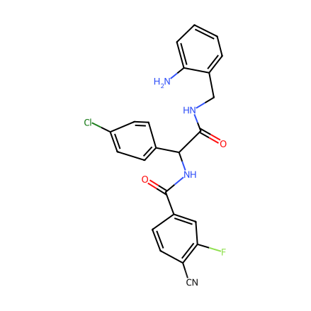 N#Cc1ccc(C(=O)NC(C(=O)NCc2ccccc2N)c2ccc(Cl)cc2)cc1F